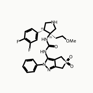 COCC[C@@]1(NC(=O)Nc2c3c(nn2-c2ccccc2)CS(=O)(=O)C3)CNC[C@H]1c1ccc(F)c(F)c1